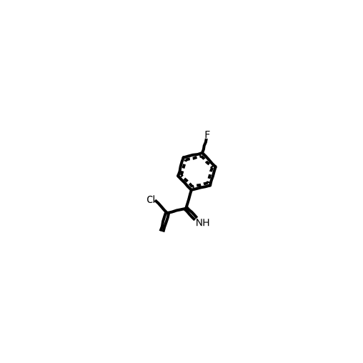 C=C(Cl)C(=N)c1ccc(F)cc1